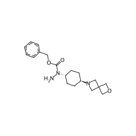 NN(C(=O)OCc1ccccc1)[C@H]1CC[C@H](N2CC3(COC3)C2)CC1